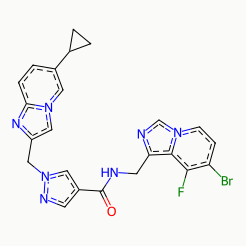 O=C(NCc1ncn2ccc(Br)c(F)c12)c1cnn(Cc2cn3cc(C4CC4)ccc3n2)c1